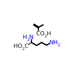 C=C(C)C(=O)O.NCCC[C@H](N)C(=O)O